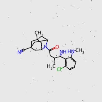 CNc1cccc(Cl)c1C(=N)C(C)CC(=O)N1C2CC3(C)CC1CC(C#N)(C2)C3